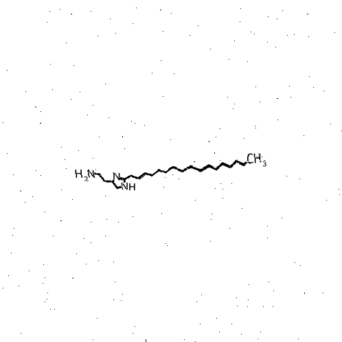 CCCCCCCCCCCCCCC=CCC1=NC(CCN)CN1